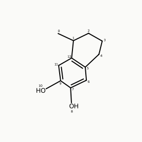 CC1CCCc2cc(O)c(O)cc21